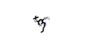 CCC/C=C\c1ncc(OC(C)(C)C)cc1N